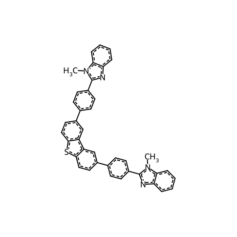 Cn1c(-c2ccc(-c3ccc4sc5ccc(-c6ccc(-c7nc8ccccc8n7C)cc6)cc5c4c3)cc2)nc2ccccc21